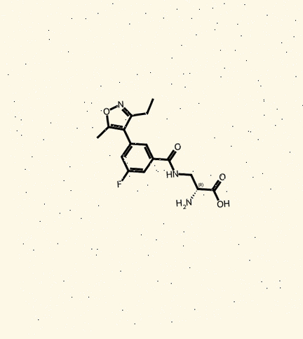 CCc1noc(C)c1-c1cc(F)cc(C(=O)NC[C@@H](N)C(=O)O)c1